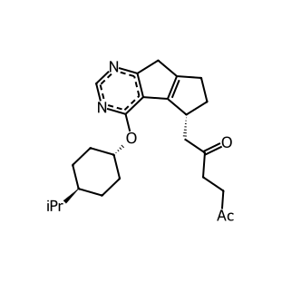 CC(=O)CCC(=O)C[C@H]1CCC2=C1c1c(ncnc1O[C@H]1CC[C@H](C(C)C)CC1)C2